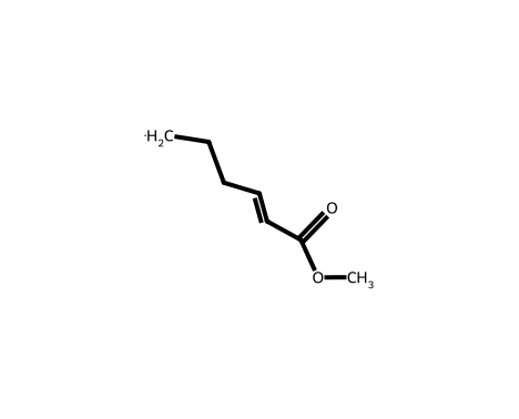 [CH2]CCC=CC(=O)OC